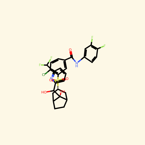 O=C(Nc1ccc(F)c(F)c1)c1ccc(Cl)c(S(=O)(=O)[C@H]2CC3CCC(C2)[C@]3(O)C(O)c2cccc(C(F)F)n2)c1